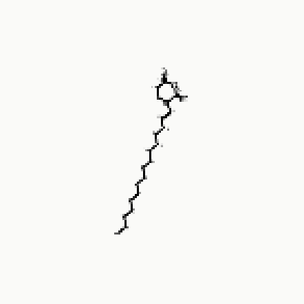 CCCCCCCCCCCCCCC=CC1CCC(=O)OC1=O